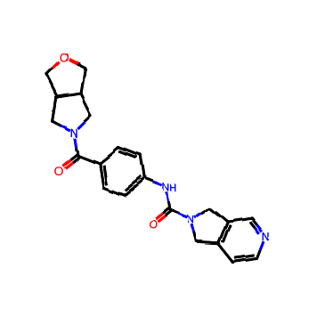 O=C(Nc1ccc(C(=O)N2CC3COCC3C2)cc1)N1Cc2ccncc2C1